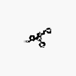 OCc1cccc(-c2nc(N3CCOCC3)nc3c2cnn3CCN2CCOCC2)c1